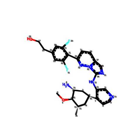 CO[C@H]1[C@H](N)C[C@H](c2ccncc2Nc2ncc3ccc(-c4c(F)cc(CCO)cc4F)nn23)C[C@@H]1C